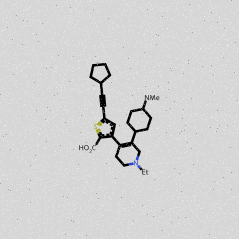 CCN1CCC(c2cc(C#CC3CCCC3)sc2C(=O)O)=C(C2CCC(NC)CC2)C1